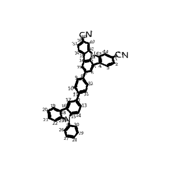 N#Cc1ccc2c3cc(-c4ccc(-c5ccc6c(c5)c5ccccc5n6-c5ccccc5)cc4)cc4c5ccc(C#N)cc5n(c2c1)c34